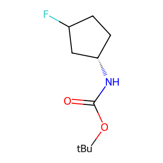 CC(C)(C)OC(=O)N[C@H]1CCC(F)C1